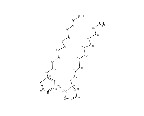 CCCCCCCCCCCCc1ccccc1.CCCCCCCCCCCCc1ccccc1I